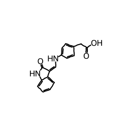 O=C(O)Cc1ccc(NC=C2C(=O)Nc3ccccc32)cc1